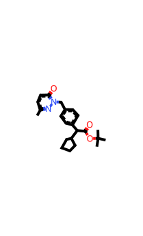 Cc1ccc(=O)n(Cc2ccc(C(C(=O)OC(C)(C)C)C3CCCC3)cc2)n1